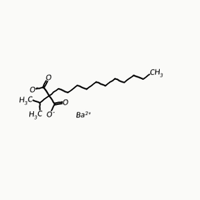 CCCCCCCCCCCC(C(=O)[O-])(C(=O)[O-])C(C)C.[Ba+2]